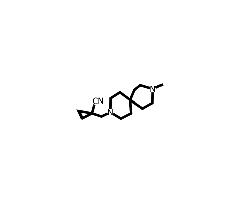 CN1CCC2(CC1)CCN(CC1(C#N)CC1)CC2